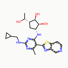 Cc1nc(NCC2CC2)nc(N[C@@H]2C[C@H](C(C)O)[C@@H](O)[C@H]2O)c1-c1nc2cnccc2s1